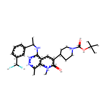 Cc1nnc(NC(C)c2cccc(C(F)F)c2)c2cc(C3CCN(C(=O)OC(C)(C)C)CC3)c(=O)n(C)c12